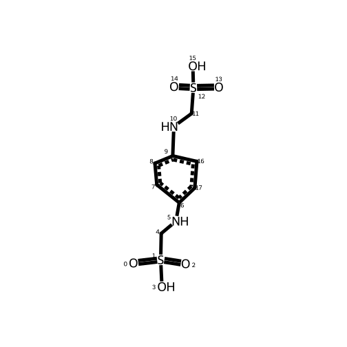 O=S(=O)(O)CNc1ccc(NCS(=O)(=O)O)cc1